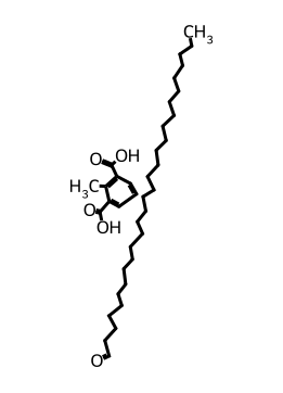 CCCCCCCCCCCCCCCCCCCCCCCCCCCC=O.Cc1c(C(=O)O)cccc1C(=O)O